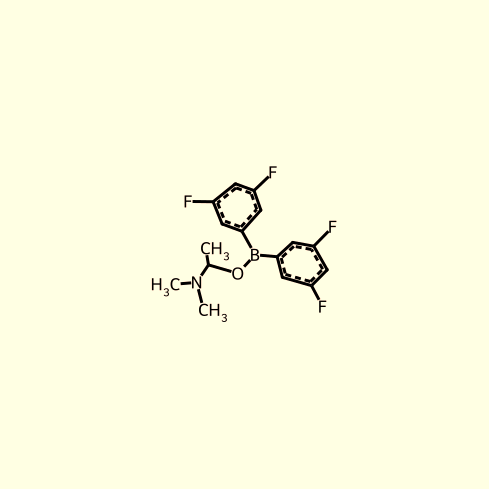 CC(OB(c1cc(F)cc(F)c1)c1cc(F)cc(F)c1)N(C)C